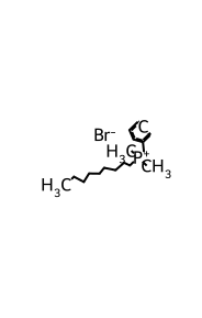 CCCCCCCCC[P+](C)(C)Cc1ccccc1.[Br-]